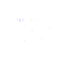 C1CC2CCC12.CO.N